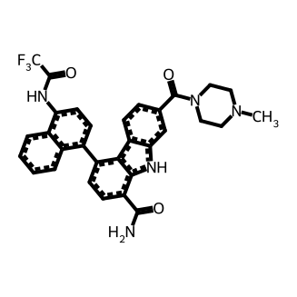 CN1CCN(C(=O)c2ccc3c(c2)[nH]c2c(C(N)=O)ccc(-c4ccc(NC(=O)C(F)(F)F)c5ccccc45)c23)CC1